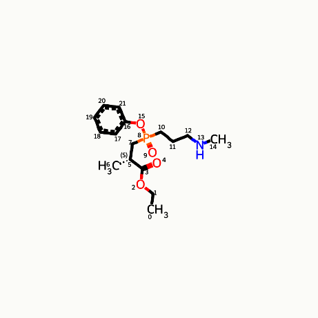 CCOC(=O)[C@H](C)CP(=O)(CCCNC)Oc1ccccc1